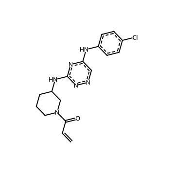 C=CC(=O)N1CCCC(Nc2nncc(Nc3ccc(Cl)cc3)n2)C1